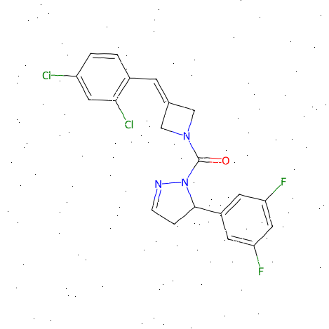 O=C(N1CC(=Cc2ccc(Cl)cc2Cl)C1)N1N=CCC1c1cc(F)cc(F)c1